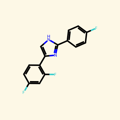 Fc1ccc(-c2nc(-c3ccc(F)cc3F)c[nH]2)cc1